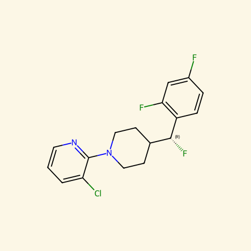 Fc1ccc([C@H](F)C2CCN(c3ncccc3Cl)CC2)c(F)c1